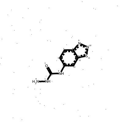 NNC(=O)Nc1ccc2nnsc2c1